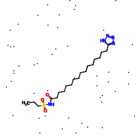 CCCS(=O)(=O)NC(=O)CCCCCCCCCCCCCCCc1nnn[nH]1